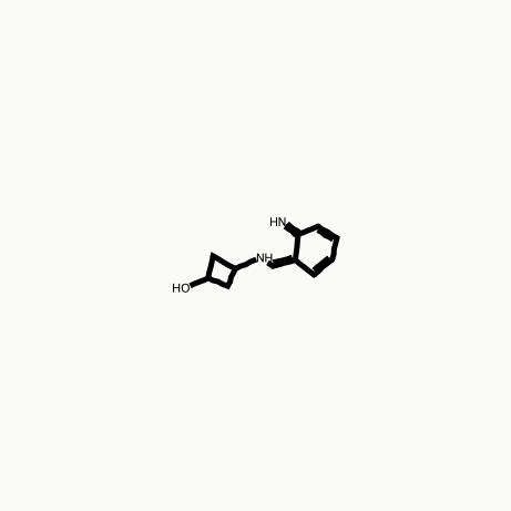 N=C1C=CC=C/C1=C/NC1CC(O)C1